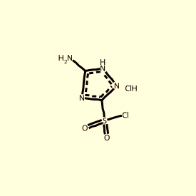 Cl.Nc1nc(S(=O)(=O)Cl)n[nH]1